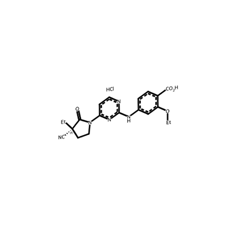 CCOc1cc(Nc2nccc(N3CC[C@@](C#N)(CC)C3=O)n2)ccc1C(=O)O.Cl